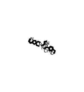 Cc1nc(N2CCC3(CC2)Cc2cccnc2C3)c2ccnn2c1-c1ccc2c(c1)OCC2